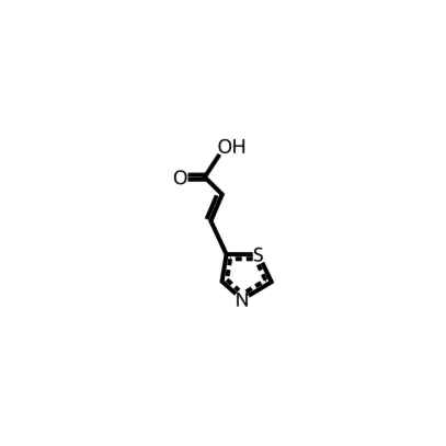 O=C(O)C=Cc1cncs1